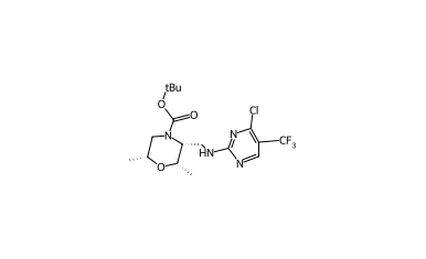 C[C@@H]1CN(C(=O)OC(C)(C)C)[C@H](CNc2ncc(C(F)(F)F)c(Cl)n2)[C@H](C)O1